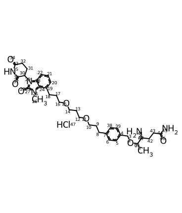 C[C@@H](OCc1ccc(CCCOCCCOCCCc2cccc3c2n(C)c(=O)n3C2CCC(=O)NC2=O)cc1)[C@@H](N)CCC(N)=O.Cl